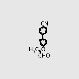 CC(C=O)Oc1ccc(-c2ccc(C#N)cc2)cc1